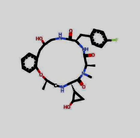 C[C@@H]1CN[C@@H](C2CC2O)C(=O)N(C)[C@H](C)C(=O)N[C@H](Cc2ccc(F)cc2)C(=O)NCC(O)Cc2ccccc2O1